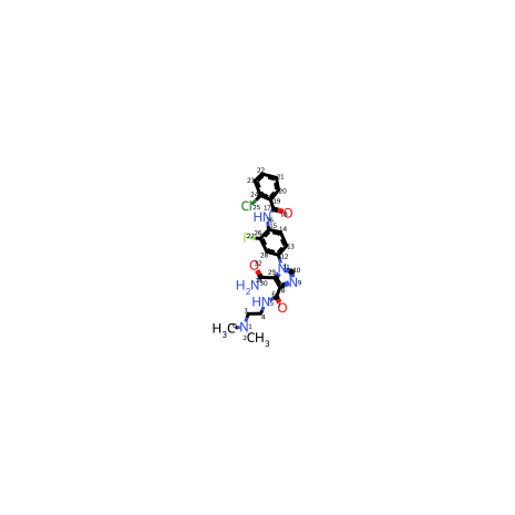 CN(C)CCNC(=O)c1ncn(-c2ccc(NC(=O)c3ccccc3Cl)c(F)c2)c1C(N)=O